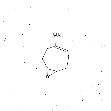 CC1=CCCC2OC2CC1